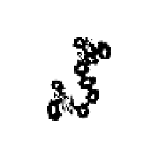 c1ccc(-c2nc(-c3ccccc3)nc(-c3cccc(-c4cccc(-c5ccc(-c6ccc7sc8c(ccc9c(-c%10ccccc%10)nc%10ccccc%10c98)c7c6)cc5)c4)c3)n2)cc1